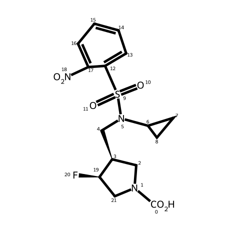 O=C(O)N1C[C@H](CN(C2CC2)S(=O)(=O)c2ccccc2[N+](=O)[O-])[C@H](F)C1